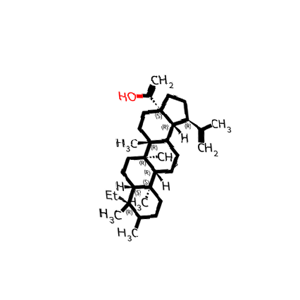 C=C(C)[C@@H]1CC[C@]2(C(=C)O)CC[C@]3(C)C(CC[C@@H]4[C@@]5(C)CCC(C)[C@@](C)(CC)[C@@H]5CC[C@]43C)[C@@H]12